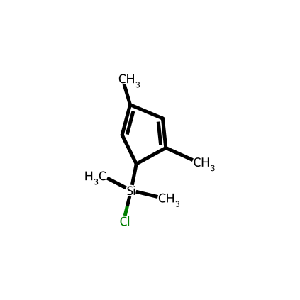 CC1=CC([Si](C)(C)Cl)C(C)=C1